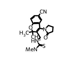 CNC(=S)NCC1=C(N2CCCC2=O)c2cc(C#N)ccc2OC1(C)C